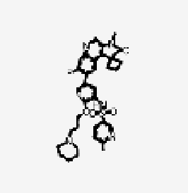 Cc1ccc(S(=O)(=O)Nc2cc(-c3cc4c5c(cnc4cc3F)N(C)C(=O)C53CCC3)cnc2OCCCN2CCCCC2)cn1